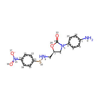 Nc1ccc(N2C[C@@H](CNSc3ccc([N+](=O)[O-])cc3)OC2=O)cc1